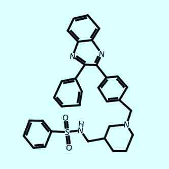 O=S(=O)(NCC1CCCN(Cc2ccc(-c3nc4ccccc4nc3-c3ccccc3)cc2)C1)c1ccccc1